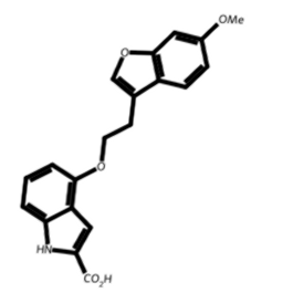 COc1ccc2c(CCOc3cccc4[nH]c(C(=O)O)cc34)coc2c1